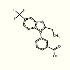 CCc1nc2cc(C(F)(F)F)ccc2n1-c1cccc(C(=O)O)c1